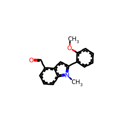 COc1ccccc1-c1cc2c(C=O)cccc2n1C